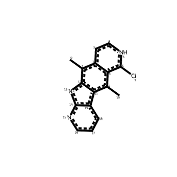 Cc1c2cc[nH]c(Cl)c2c(C)c2c1nc1ncccc12